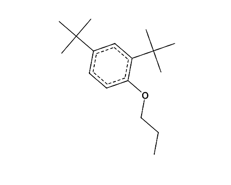 CCCOc1ccc(C(C)(C)C)cc1C(C)(C)C